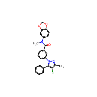 CN(C(=O)c1cccc(-n2nc(C(F)(F)F)c(Cl)c2-c2ccccc2)c1)c1ccc2c(c1)OCO2